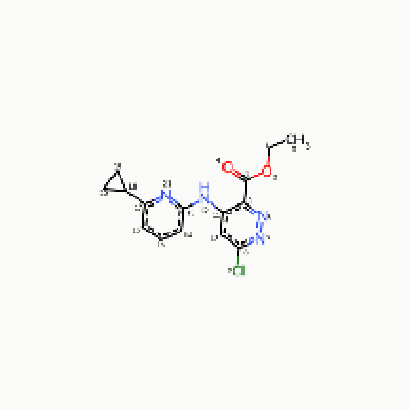 CCOC(=O)c1nnc(Cl)cc1Nc1cccc(C2CC2)n1